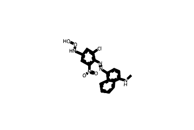 CNc1ccc(N=Nc2c(Cl)cc(NOO)cc2[N+](=O)[O-])c2ccccc12